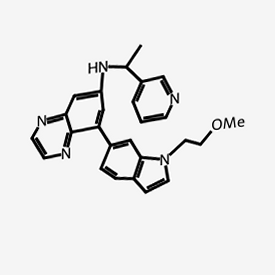 COCCn1ccc2ccc(-c3cc(NC(C)c4cccnc4)cc4nccnc34)cc21